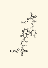 CCOc1c(NCCOc2ccc(F)cc2-c2ccnc3[nH]c(C4=CCN(c5c(OCC)c(=O)c5=O)CC4)cc23)c(=O)c1=O